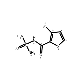 NP(N)(=O)NC(=O)c1sccc1Br